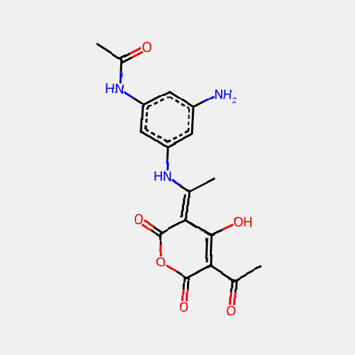 CC(=O)Nc1cc(N)cc(NC(C)=C2C(=O)OC(=O)C(C(C)=O)=C2O)c1